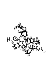 CCCCn1c(-c2ccccc2)nc(-c2cccc(OCC)c2)c1CN(Cc1ccc(OC(F)F)cc1)Cc1ccc(OC(F)F)cc1